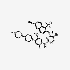 C#Cc1ccc2c(P(C)(C)=O)c(Nc3nc(Nc4cc(OC)c(N5CCC(N6CCN(C)CC6)CC5)cc4C)ncc3Br)ccc2n1